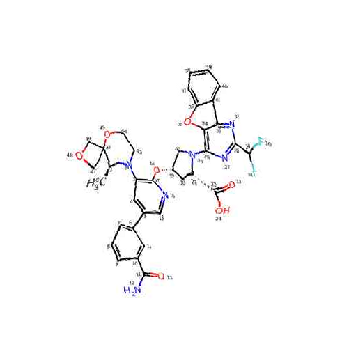 C[C@@H]1N(c2cc(-c3cccc(C(N)=O)c3)cnc2O[C@H]2C[C@@H](C(=O)O)N(c3nc(C(F)F)nc4c3oc3ccccc34)C2)CCOC12COC2